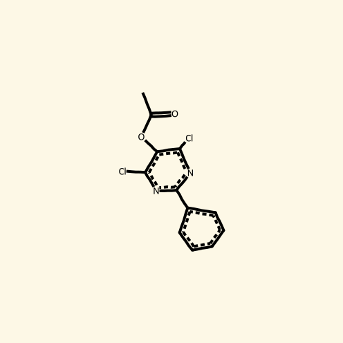 CC(=O)Oc1c(Cl)nc(-c2ccccc2)nc1Cl